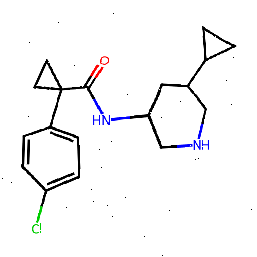 O=C(NC1CNCC(C2CC2)C1)C1(c2ccc(Cl)cc2)CC1